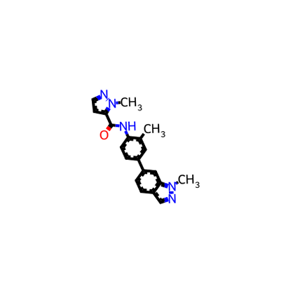 Cc1cc(-c2ccc3cnn(C)c3c2)ccc1NC(=O)c1ccnn1C